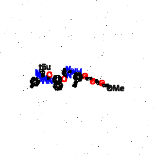 C#Cc1cc(Nc2nccc(Oc3ccc(NC(=O)Nc4cc(C(C)(C)C)nn4-c4ccc(C)cc4)c4ccccc34)n2)cc(OCCOCCOCCOC)c1